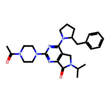 CC(=O)N1CCN(c2nc3c(c(N4CCCC4Cc4ccccc4)n2)CN(C(C)C)C3=O)CC1